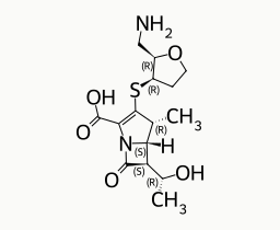 C[C@@H](O)[C@H]1C(=O)N2C(C(=O)O)=C(S[C@@H]3CCO[C@@H]3CN)[C@H](C)[C@H]12